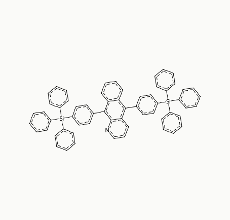 c1ccc([Si](c2ccccc2)(c2ccccc2)c2ccc(-c3c4ccccc4c(-c4ccc([Si](c5ccccc5)(c5ccccc5)c5ccccc5)cc4)c4ncccc34)cc2)cc1